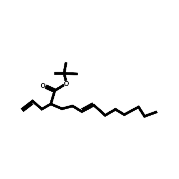 C=CCC(CCC=CCCCCCC)C(=O)OC(C)(C)C